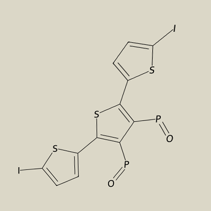 O=Pc1c(-c2ccc(I)s2)sc(-c2ccc(I)s2)c1P=O